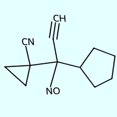 C#CC(N=O)(C1CCCC1)C1(C#N)CC1